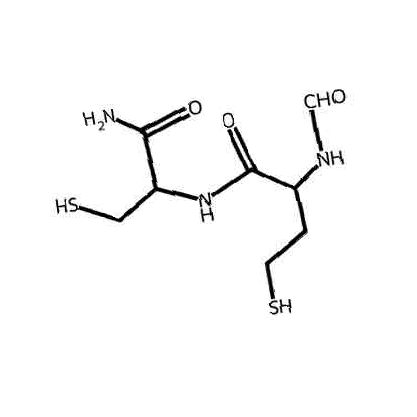 NC(=O)C(CS)NC(=O)C(CCS)NC=O